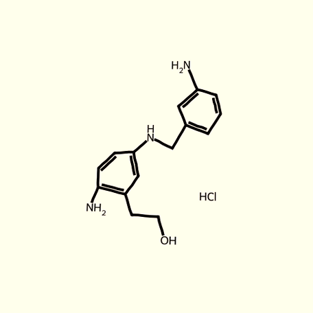 Cl.Nc1cccc(CNc2ccc(N)c(CCO)c2)c1